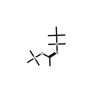 CC(=N[Si](C)(C)C(C)(C)C)O[Si](C)(C)C